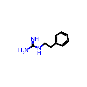 N=C(N)N[CH]Cc1ccccc1